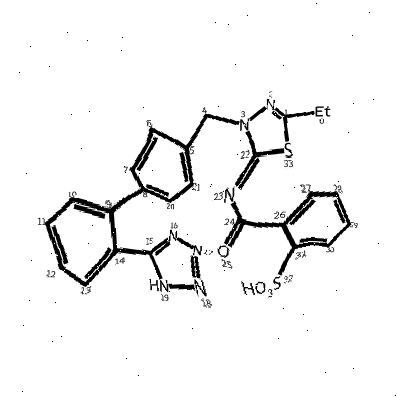 CCc1nn(Cc2ccc(-c3ccccc3-c3nnn[nH]3)cc2)c(=NC(=O)c2ccccc2S(=O)(=O)O)s1